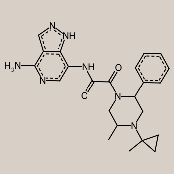 CC1CN(C(=O)C(=O)Nc2cnc(N)c3cn[nH]c23)C(c2ccccc2)CN1C1(C)CC1